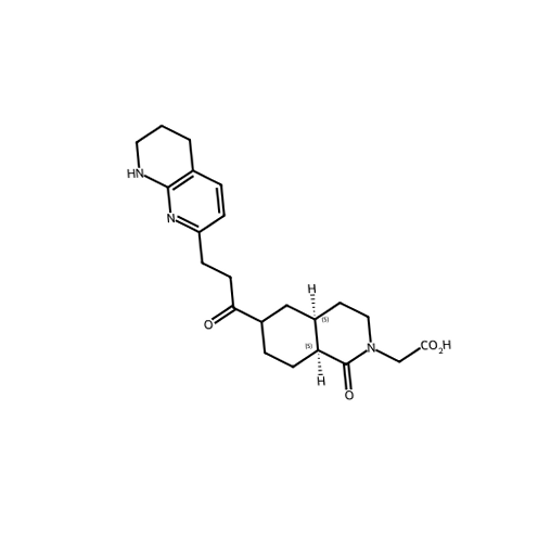 O=C(O)CN1CC[C@@H]2CC(C(=O)CCc3ccc4c(n3)NCCC4)CC[C@@H]2C1=O